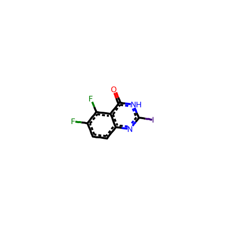 O=c1[nH]c(I)nc2ccc(F)c(F)c12